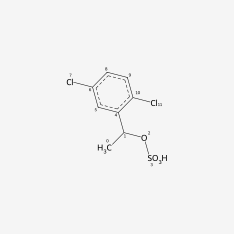 CC(OS(=O)(=O)O)c1cc(Cl)ccc1Cl